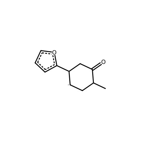 CC1C[CH]C(c2ccco2)CC1=O